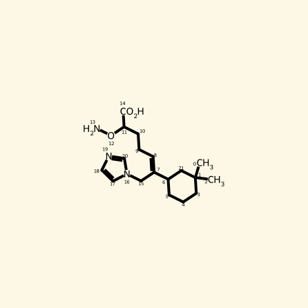 CC1(C)CCCC(C(=CCCC(ON)C(=O)O)Cn2ccnc2)C1